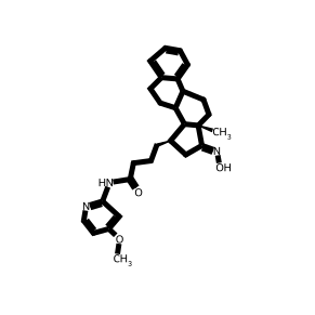 COc1ccnc(NC(=O)CCC[C@@H]2C/C(=N\O)[C@@]3(C)CCC4c5ccccc5CCC4C23)c1